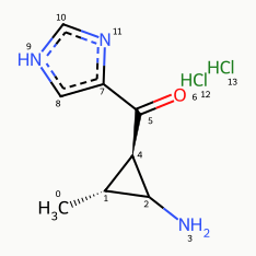 C[C@H]1C(N)[C@@H]1C(=O)c1c[nH]cn1.Cl.Cl